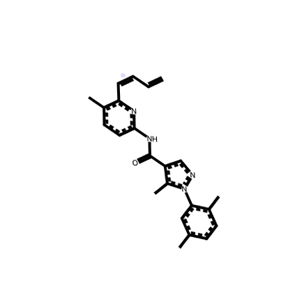 C=C/C=C\c1nc(NC(=O)c2cnn(-c3cc(C)ccc3C)c2C)ccc1C